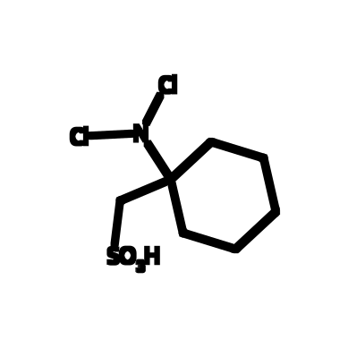 O=S(=O)(O)CC1(N(Cl)Cl)CCCCC1